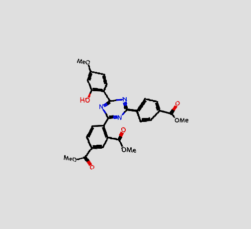 COC(=O)c1ccc(-c2nc(-c3ccc(OC)cc3O)nc(-c3ccc(C(=O)OC)cc3C(=O)OC)n2)cc1